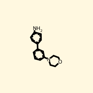 Nc1ccc(-c2cccc(N3CCOCC3)c2)cc1